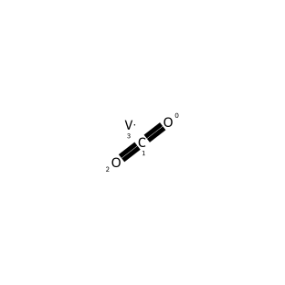 O=C=O.[V]